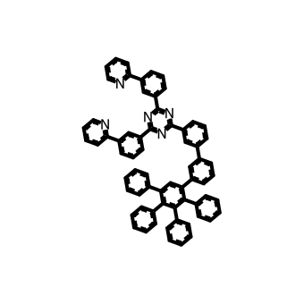 c1ccc(-c2cc(-c3cccc(-c4cccc(-c5nc(-c6cccc(-c7ccccn7)c6)nc(-c6cccc(-c7ccccn7)c6)n5)c4)c3)c(-c3ccccc3)c(-c3ccccc3)c2-c2ccccc2)cc1